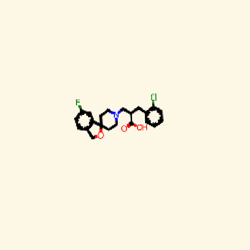 O=C(O)C(Cc1ccccc1Cl)CN1CCC2(CC1)OCc1ccc(F)cc12